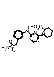 NS(=O)(=O)Cc1cccc(Nc2ncnc(N3CCCC[C@@H]3C(=O)O)n2)c1